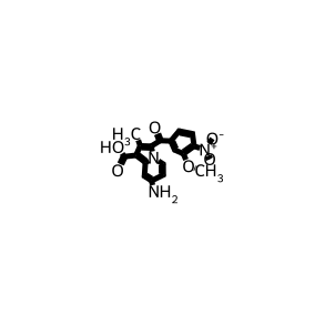 COc1cc(C(=O)c2c(C)c(C(=O)O)c3cc(N)ccn23)ccc1[N+](=O)[O-]